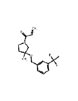 C=CC(=O)N1CCC(C)(OCc2cccc(C(F)(F)F)c2)C1